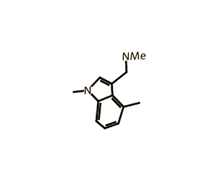 CNCc1cn(C)c2cccc(C)c12